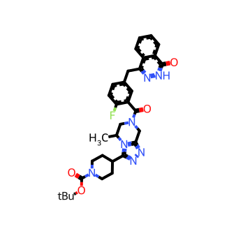 CC1CN(C(=O)c2cc(Cc3n[nH]c(=O)c4ccccc34)ccc2F)Cc2nnc(C3CCN(C(=O)OC(C)(C)C)CC3)n21